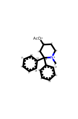 CC(=O)OC1CCN(C)C(c2ccccc2)(c2ccccc2)C1